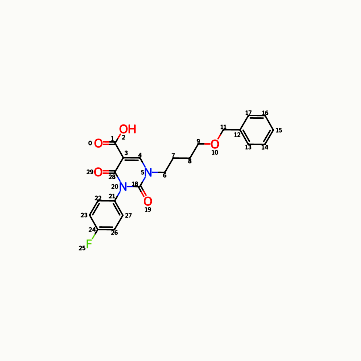 O=C(O)c1cn(CCCCOCc2ccccc2)c(=O)n(-c2ccc(F)cc2)c1=O